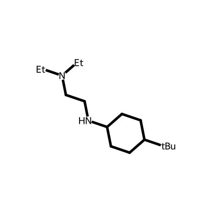 CCN(CC)CCNC1CCC(C(C)(C)C)CC1